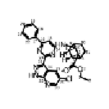 CCOC(=O)[C@H]1C2CCC(CC2)[C@H]1Nc1cc(-c2ccccc2)nc(-c2n[nH]c3ncc(Cl)cc23)n1